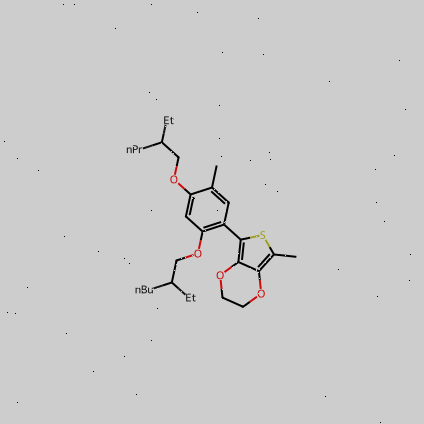 CCCCC(CC)COc1cc(OCC(CC)CCC)c(C)cc1-c1sc(C)c2c1OCCO2